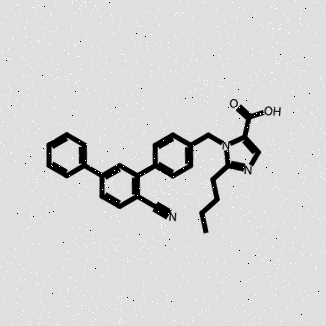 CCCCc1ncc(C(=O)O)n1Cc1ccc(-c2cc(-c3ccccc3)ccc2C#N)cc1